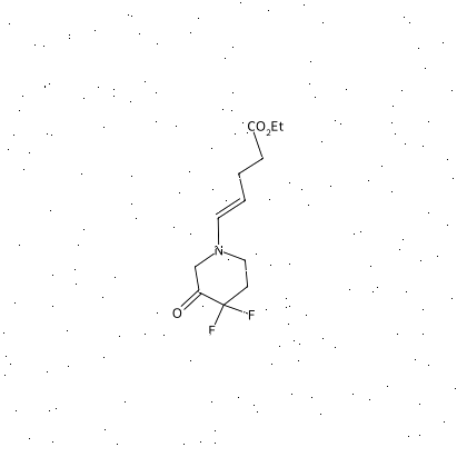 CCOC(=O)CCC=CN1CCC(F)(F)C(=O)C1